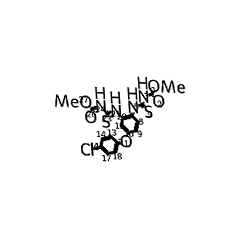 COC(=O)NC(=S)Nc1ccc(Oc2ccc(Cl)cc2)cc1NC(=S)NC(=O)OC